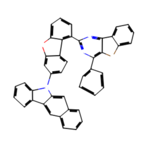 c1ccc(-c2nc(-c3cccc4oc5cc(-n6c7ccccc7c7cc8ccccc8cc76)ccc5c34)nc3c2sc2ccccc23)cc1